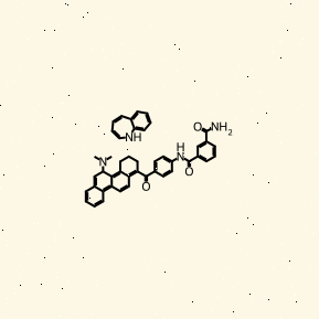 C1=CNc2ccccc2C=C1.CN(C)C1C=c2ccccc2=c2ccc3c(c21)CCCC=3C(=O)c1ccc(NC(=O)c2cccc(C(N)=O)c2)cc1